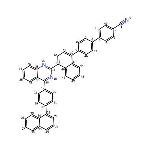 N#Cc1ccc(-c2ccc(-c3ccc(-c4nc(-c5ccc(-c6cccc7ccccc67)cc5)c5ccccc5n4)c4ccccc34)cc2)cc1